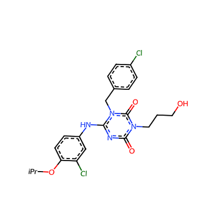 CC(C)Oc1ccc(Nc2nc(=O)n(CCCO)c(=O)n2Cc2ccc(Cl)cc2)cc1Cl